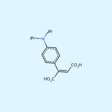 CC(C)N(c1ccc(/C(=C\C(=O)O)C(=O)O)cc1)C(C)C